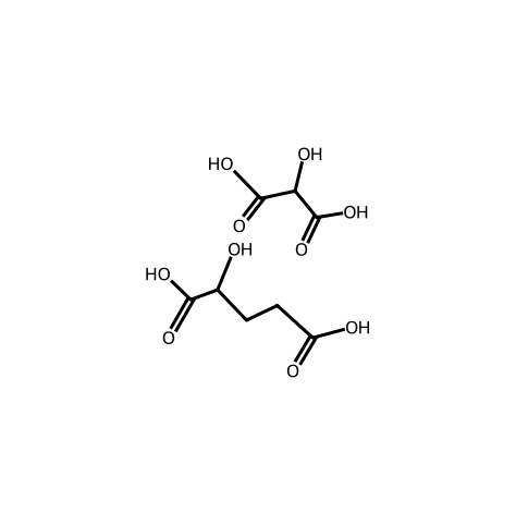 O=C(O)C(O)C(=O)O.O=C(O)CCC(O)C(=O)O